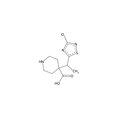 CC(c1nc(Cl)ns1)C1(C(=O)O)CCNCC1